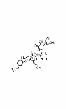 C=C(CN(CC)CC)C(=O)NC[C@@H](NC(=O)[C@H](Cc1nc2ccc(CC)cc2s1)NC(=O)CCC)[C@@H](C)CC